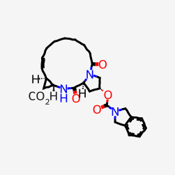 O=C1N[C@]2(C(=O)O)C[C@H]2/C=C\CCCCCCC(=O)N2C[C@H](OC(=O)N3Cc4ccccc4C3)C[C@@H]12